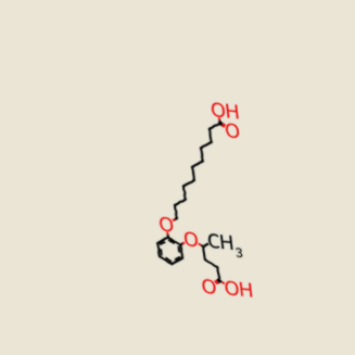 CC(CCC(=O)O)Oc1ccccc1OCCCCCCCCCCC(=O)O